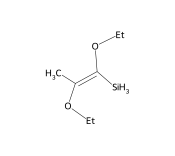 CCOC(C)=C([SiH3])OCC